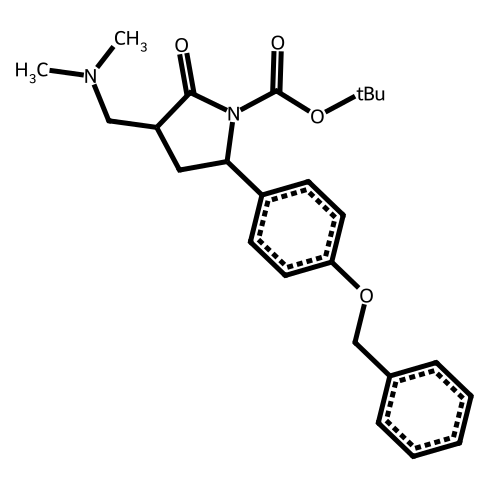 CN(C)CC1CC(c2ccc(OCc3ccccc3)cc2)N(C(=O)OC(C)(C)C)C1=O